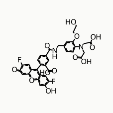 O=C(O)CN(CC(=O)O)c1ccc(CNC(=O)c2ccc(-c3c4cc(F)c(=O)cc-4oc4cc(O)c(F)cc34)c(C(=O)O)c2)cc1OCCO